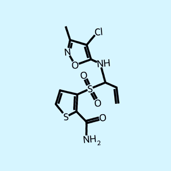 C=CC(Nc1onc(C)c1Cl)S(=O)(=O)c1ccsc1C(N)=O